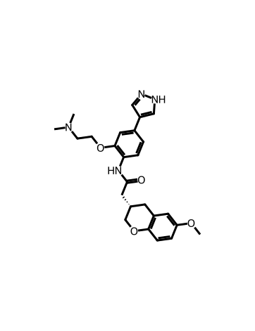 COc1ccc2c(c1)C[C@@H](CC(=O)Nc1ccc(-c3cn[nH]c3)cc1OCCN(C)C)CO2